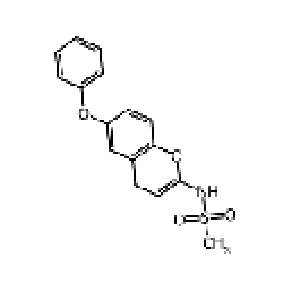 CS(=O)(=O)NC1=CCc2cc(Oc3ccccc3)ccc2O1